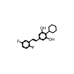 Oc1cc(C=Cc2cc(F)ccc2F)cc(O)c1C1CCCCC1